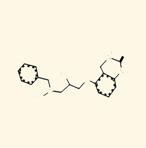 CC(C)(C)N(Cc1ccccc1)CC(O)COc1cccc2c1CNC(=O)N2